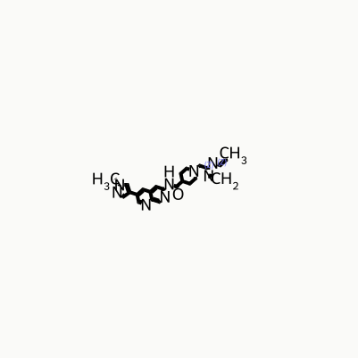 C=N/C(CN1CCC(C(=O)Nc2cc3cc(-c4cnn(C)c4)cnc3cn2)CC1)=N\C=C/C